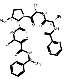 CCC(NC(=O)[C@@H]1[C@@H](C)CCN1C(=O)[C@@H](NC(=O)[C@@H](NC(=O)c1cnccn1)C(C)C)C(C)C)C(=O)C(=O)N[C@@H](C)c1ccccc1